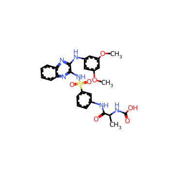 COc1cc(Nc2nc3ccccc3nc2NS(=O)(=O)c2cccc(NC(=O)C(C)NC(=O)O)c2)cc(OC)c1